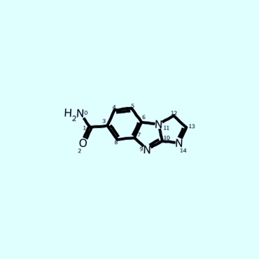 NC(=O)c1ccc2c(c1)nc1n2CC=N1